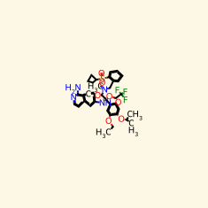 CCOc1cc([C@](Nc2ccc3c(N)nccc3c2)(OC(=O)C(F)(F)F)C(=O)N(C)Cc2ccccc2S(=O)(=O)C2CCC2)ccc1OC(C)C